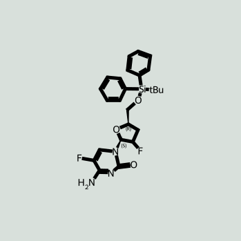 CC(C)(C)[Si](OC[C@H]1CC(F)[C@@H](n2cc(F)c(N)nc2=O)O1)(c1ccccc1)c1ccccc1